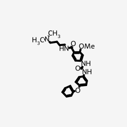 COc1cc(NC(=O)Nc2ccc(Oc3ccccc3)cc2)ccc1C(=O)NCCCCN(C)C